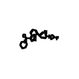 O=C(c1cnn2c(-c3ccc(N4CC(F)C4)nc3)cccc12)N1CCCCC1